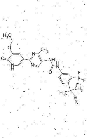 CCOc1cc(-c2ncc(NC(=O)Nc3ccc(C(C)(C)C#N)c(C(F)(F)F)c3)c(C)n2)c[nH]c1=O